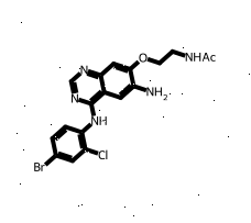 CC(=O)NCCOc1cc2ncnc(Nc3ccc(Br)cc3Cl)c2cc1N